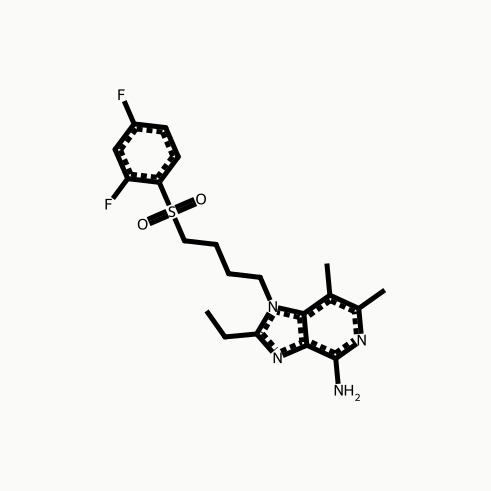 CCc1nc2c(N)nc(C)c(C)c2n1CCCCS(=O)(=O)c1ccc(F)cc1F